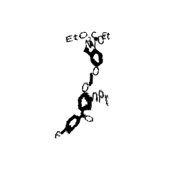 CCCc1cc(C(=O)c2ccc(F)cc2)ccc1OCCOc1ccc2c(cnn2C(OCC)C(=O)OCC)c1